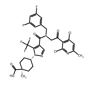 Cc1cc(Cl)c(C(=O)CN(Cc2cc(F)cc(F)c2)C(=O)c2cnn([C@H]3CC[C@](C)(C(=O)O)CC3)c2C(F)(F)F)c(Cl)n1